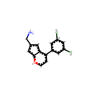 NCc1cc2occc(-c3cc(Cl)cc(Cl)c3)c-2c1